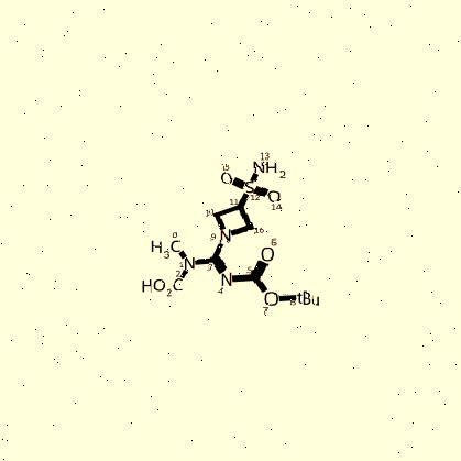 CN(C(=O)O)/C(=N/C(=O)OC(C)(C)C)N1CC(S(N)(=O)=O)C1